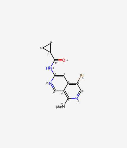 CNc1ncc(Br)c2cc(NC(=O)C3CC3)ncc12